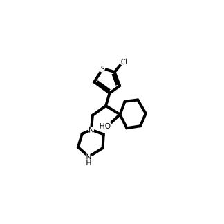 OC1(C(CN2CCNCC2)c2csc(Cl)c2)CCCCC1